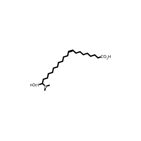 CCCCCCCCC(CCCCCCCCCC/C=C\CCCCCCCC(=O)O)N(C)C